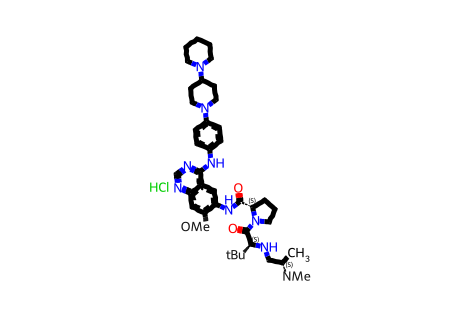 CN[C@@H](C)CN[C@H](C(=O)N1CCC[C@H]1C(=O)Nc1cc2c(Nc3ccc(N4CCC(N5CCCCC5)CC4)cc3)ncnc2cc1OC)C(C)(C)C.Cl